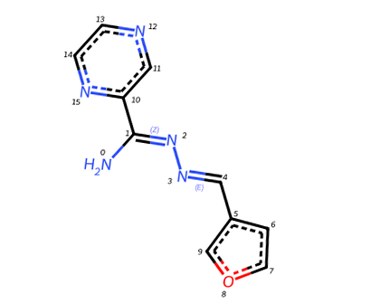 N/C(=N\N=C\c1ccoc1)c1cnccn1